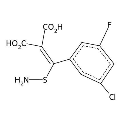 NSC(=C(C(=O)O)C(=O)O)c1cc(F)cc(Cl)c1